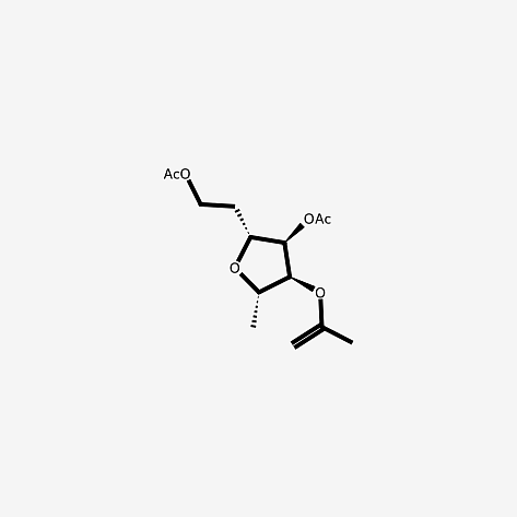 C=C(C)O[C@@H]1[C@H](OC(C)=O)[C@@H](CCOC(C)=O)O[C@H]1C